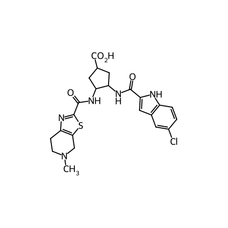 CN1CCc2nc(C(=O)NC3CC(C(=O)O)CC3NC(=O)c3cc4cc(Cl)ccc4[nH]3)sc2C1